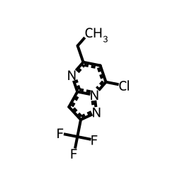 CCc1cc(Cl)n2nc(C(F)(F)F)cc2n1